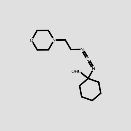 O=CC1(N=C=NCCN2CCOCC2)CCCCC1